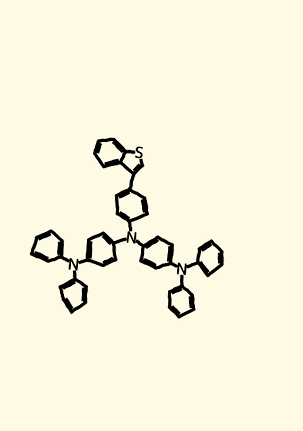 c1ccc(N(c2ccccc2)c2ccc(N(c3ccc(-c4csc5ccccc45)cc3)c3ccc(N(c4ccccc4)c4ccccc4)cc3)cc2)cc1